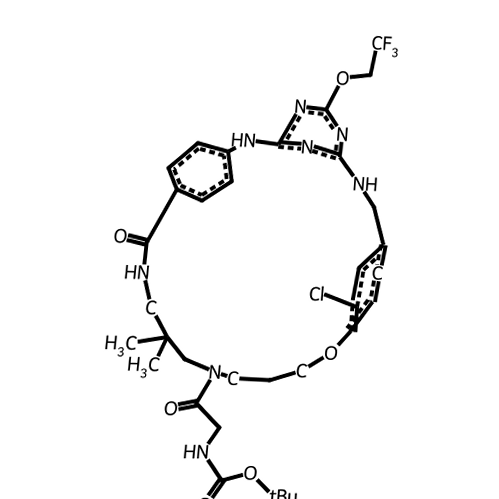 CC1(C)CNC(=O)c2ccc(cc2)Nc2nc(nc(OCC(F)(F)F)n2)NCc2ccc(c(Cl)c2)OCCCN(C(=O)CNC(=O)OC(C)(C)C)C1